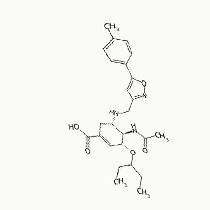 CCC(CC)O[C@@H]1C=C(C(=O)O)C[C@H](NCc2cc(-c3ccc(C)cc3)on2)[C@H]1NC(C)=O